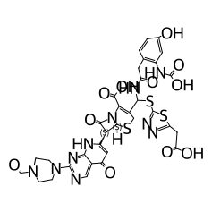 O=CN1CCN(c2ncc3c(=O)cc([C@H]4C(=O)N5C(C(=O)O)=C(C(NC(=O)Cc6ccc(O)cc6NC(=O)O)Sc6nnc(CC(=O)O)s6)CS[C@@H]45)[nH]c3n2)CC1